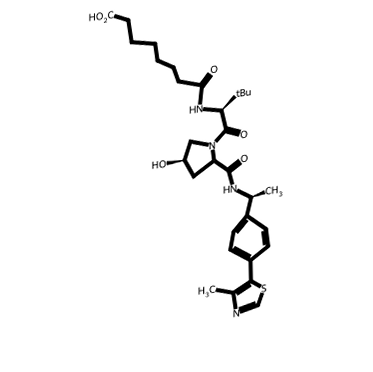 Cc1ncsc1-c1ccc([C@H](C)NC(=O)C2C[C@@H](O)CN2C(=O)[C@@H](NC(=O)CCCCCCC(=O)O)C(C)(C)C)cc1